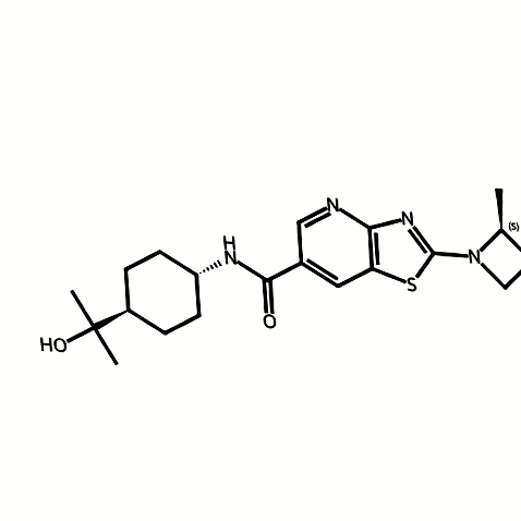 C[C@H]1CCN1c1nc2ncc(C(=O)N[C@H]3CC[C@H](C(C)(C)O)CC3)cc2s1